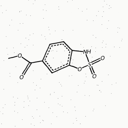 COC(=O)c1ccc2c(c1)OS(=O)(=O)N2